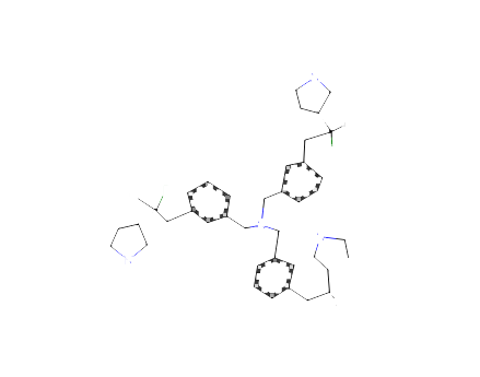 O=C(O)[C@@H](Cc1cccc(CN(Cc2cccc(CC(F)(C(=O)O)[C@H]3CCNC3)c2)Cc2cccc(CC(F)(C(=O)O)[C@H]3CCNC3)c2)c1)[C@H]1CCNC1